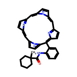 CC1(C(=O)Nc2ccccc2-c2c3nc(cc4ccc(cc5nc(cc6ccc2[nH]6)C=C5)[nH]4)C=C3)CCCCC1